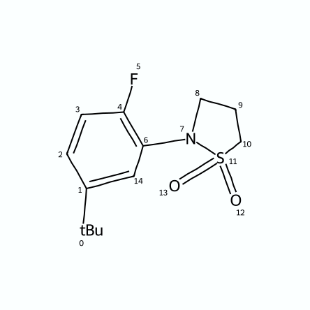 CC(C)(C)c1ccc(F)c(N2CCCS2(=O)=O)c1